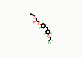 C#CCOC[C@@H](O)COc1c(F)cc(Cc2cc(F)c(OC[C@H](C)CCl)c(F)c2)cc1F